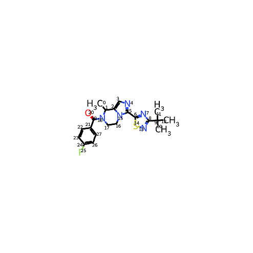 CC1c2cnc(-c3nc(C(C)(C)C)ns3)n2CCN1C(=O)c1ccc(F)cc1